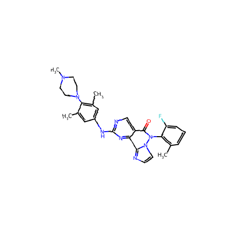 Cc1cc(Nc2ncc3c(=O)n(-c4c(C)cccc4F)n4ccnc4c3n2)cc(C)c1N1CCN(C)CC1